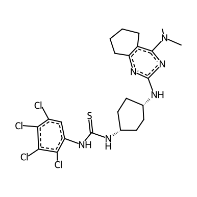 CN(C)c1nc(N[C@H]2CC[C@@H](NC(=S)Nc3cc(Cl)c(Cl)c(Cl)c3Cl)CC2)nc2c1CCCC2